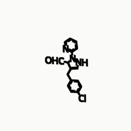 O=CC1C(Cc2ccc(Cl)cc2)=CNN1c1ccccn1